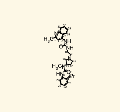 Cc1cc(NC(=O)NCCN2CCC(N(C)C(=O)Nc3ccccc3C(C)C)C2)c2ccccc2n1